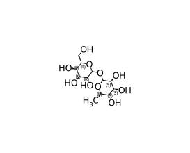 C[C@H]1OC(OC2O[C@H](CO)[C@H](O)[C@H](O)[C@H]2O)[C@@H](O)[C@@H](O)[C@@H]1O